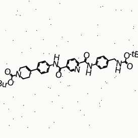 CC(C)(C)OC(=O)NCc1ccc(NC(=O)c2ccc(C(=O)Nc3ccc(C4=CCN(C(=O)OC(C)(C)C)CC4)cc3)cn2)cc1